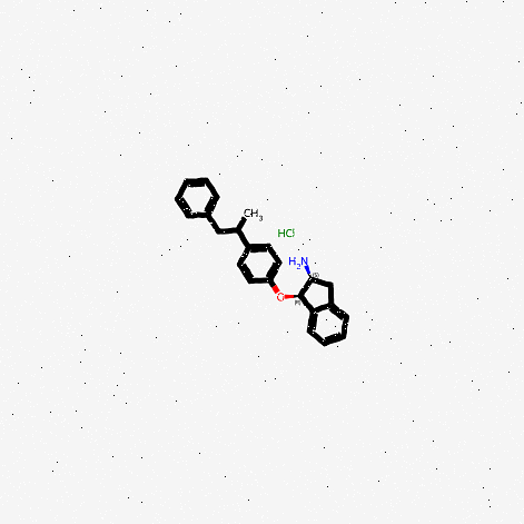 CC(Cc1ccccc1)c1ccc(O[C@@H]2c3ccccc3C[C@@H]2N)cc1.Cl